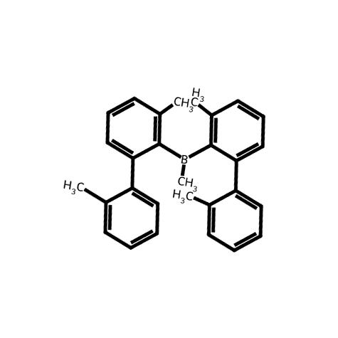 CB(c1c(C)cccc1-c1ccccc1C)c1c(C)cccc1-c1ccccc1C